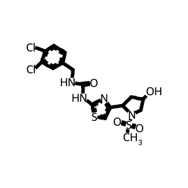 CS(=O)(=O)N1CC(O)CC1c1csc(NC(=O)NCc2ccc(Cl)c(Cl)c2)n1